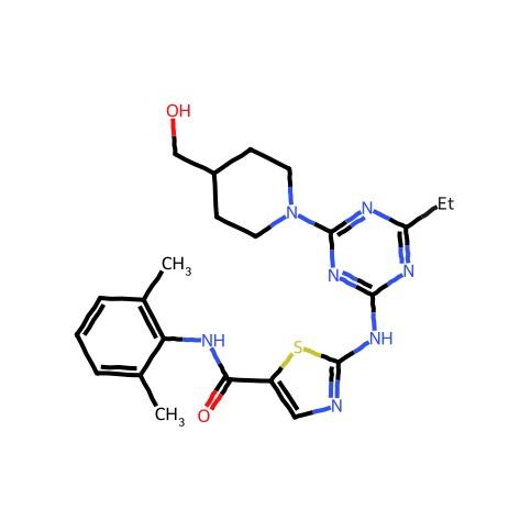 CCc1nc(Nc2ncc(C(=O)Nc3c(C)cccc3C)s2)nc(N2CCC(CO)CC2)n1